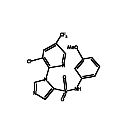 COc1cccc(NS(=O)(=O)c2cncn2-c2ncc(C(F)(F)F)cc2Cl)c1